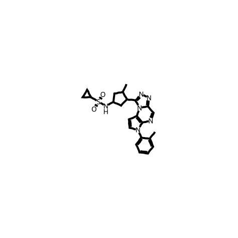 Cc1ccccc1-n1ccc2c1ncc1nnc(C3CC(NS(=O)(=O)C4CC4)CC3C)n12